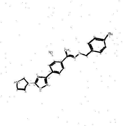 C/C(=N\OCc1ccc(C(C)(C)C)cc1)c1ccc(-c2noc([C@@H]3CCNC3)n2)cc1.Cl